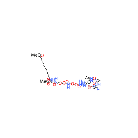 COC(=O)CCCCCCCCCCCCCCCCC(=O)N[C@@H](CCC(=O)NCCOCCOCC(=O)NCCOCCOCC(=O)NCc1ncc(-c2ccc3c(c2)c(C(C)=O)nn3CC(=O)N2C3C[C@]3(C)C[C@H]2C(=O)Nc2nc(Br)ccc2CN(C)C)cn1)C(=O)OC